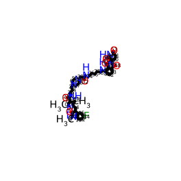 Cc1[nH]c(/C=C2\C(=O)N(C)c3ccc(F)cc32)c(C)c1C(=O)NCCCN1CCN(CC(=O)NCCCCCNc2cccc3c2C(=O)N(C2CCC(=O)NC2=O)C3=O)CC1